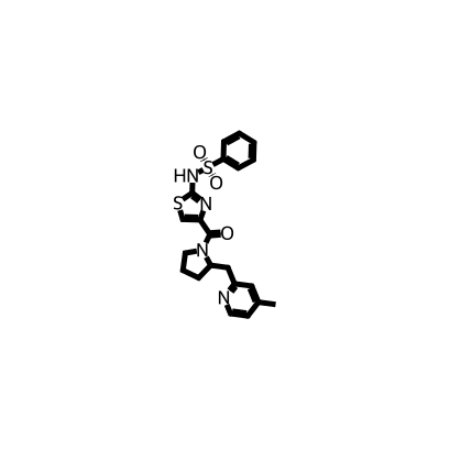 Cc1ccnc(CC2CCCN2C(=O)c2csc(NS(=O)(=O)c3ccccc3)n2)c1